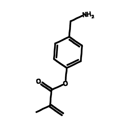 C=C(C)C(=O)Oc1ccc(CN)cc1